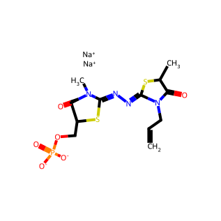 C=CCN1C(=O)C(C)SC1=NN=C1SC(COP(=O)([O-])[O-])C(=O)N1C.[Na+].[Na+]